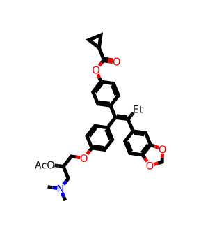 CC/C(=C(/c1ccc(OCC(CN(C)C)OC(C)=O)cc1)c1ccc(OC(=O)C2CC2)cc1)c1ccc2c(c1)OCO2